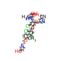 Cc1c(OCCCN2CCC(O)C2)cccc1-c1c(Cl)ccc(COc2cc(OCc3cncc(C#N)c3)c(CNC(C)(CO)CO)cc2Cl)c1Cl